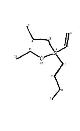 C=C[Si](CCC)(CCCC)OCC